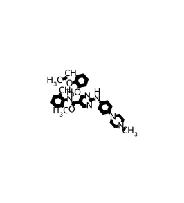 Cc1cccc(C)c1NC(=O)c1cnc(Nc2ccc(N3CCN(C)CC3)cc2)nc1Oc1ccccc1OC(C)C